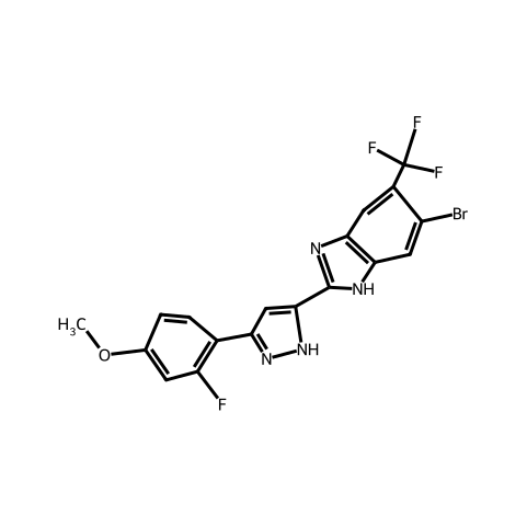 COc1ccc(-c2cc(-c3nc4cc(C(F)(F)F)c(Br)cc4[nH]3)[nH]n2)c(F)c1